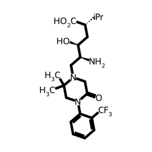 CC(C)[C@H](C[C@H](O)[C@@H](N)CN1CC(=O)N(c2ccccc2C(F)(F)F)CC1(C)C)C(=O)O